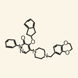 O=c1c(OC2Cc3ccccc3C2)c(N2CCN(Cc3ccc4c(c3)OCCO4)CC2)cnn1-c1ccccc1